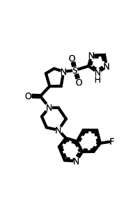 O=C(C1CCN(S(=O)(=O)c2ncn[nH]2)C1)N1CCN(c2ccnc3cc(F)ccc23)CC1